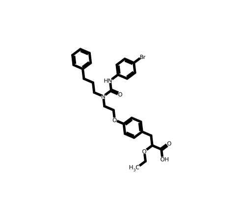 CCOC(Cc1ccc(OCCN(CCCc2ccccc2)C(=O)Nc2ccc(Br)cc2)cc1)C(=O)O